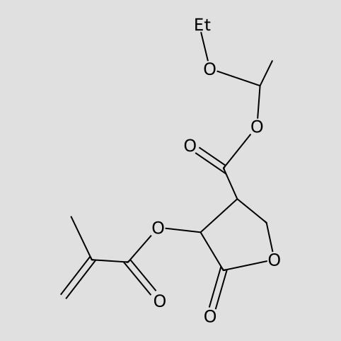 C=C(C)C(=O)OC1C(=O)OCC1C(=O)OC(C)OCC